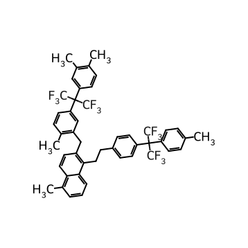 Cc1ccc(C(c2ccc(CCc3c(Cc4cc(C(c5ccc(C)c(C)c5)(C(F)(F)F)C(F)(F)F)ccc4C)ccc4c(C)cccc34)cc2)(C(F)(F)F)C(F)(F)F)cc1